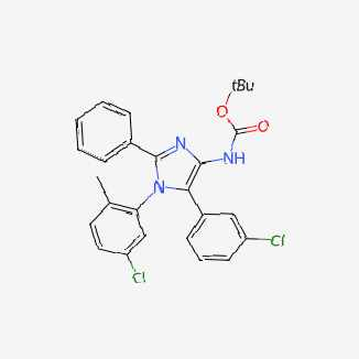 Cc1ccc(Cl)cc1-n1c(-c2ccccc2)nc(NC(=O)OC(C)(C)C)c1-c1cccc(Cl)c1